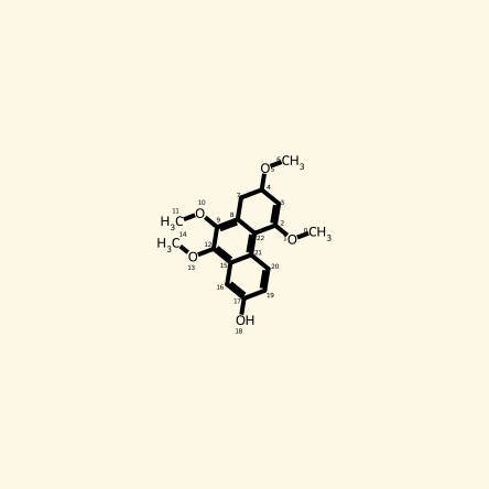 COC1=CC(OC)Cc2c(OC)c(OC)c3cc(O)ccc3c21